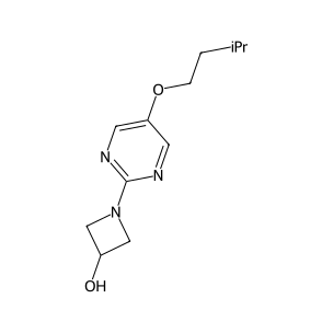 CC(C)CCOc1cnc(N2CC(O)C2)nc1